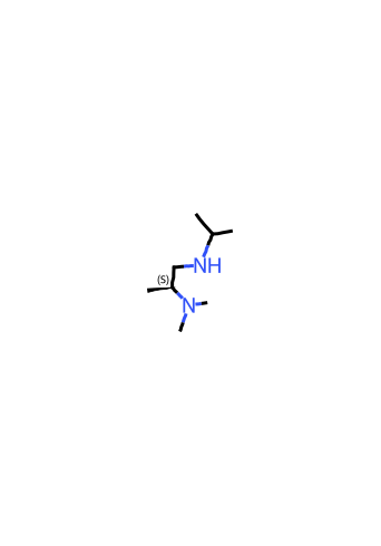 CC(C)NC[C@H](C)N(C)C